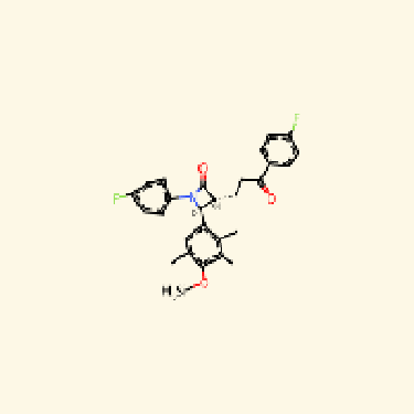 Cc1cc([C@@H]2[C@@H](CCC(=O)c3ccc(F)cc3)C(=O)N2c2ccc(F)cc2)c(C)c(C)c1O[SiH3]